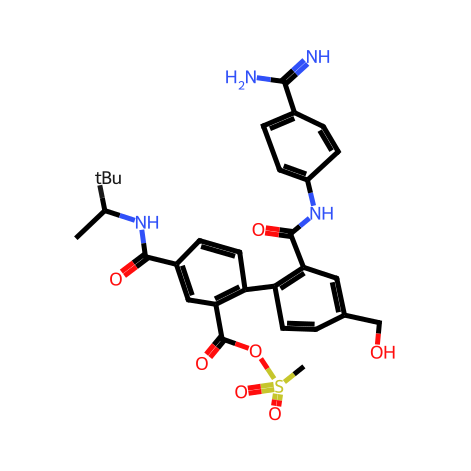 CC(NC(=O)c1ccc(-c2ccc(CO)cc2C(=O)Nc2ccc(C(=N)N)cc2)c(C(=O)OS(C)(=O)=O)c1)C(C)(C)C